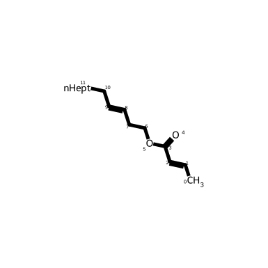 CC=CC(=O)OCCC=CCCCCCCCC